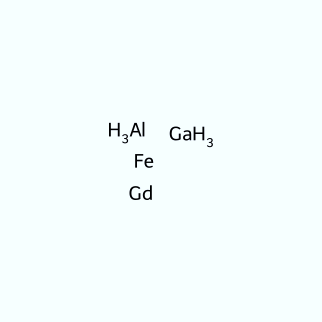 [AlH3].[Fe].[GaH3].[Gd]